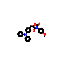 COc1ccc(N2C(=O)/C(=C\c3ccc(N(c4ccccc4)c4ccccc4)cc3)OC2=S)cc1